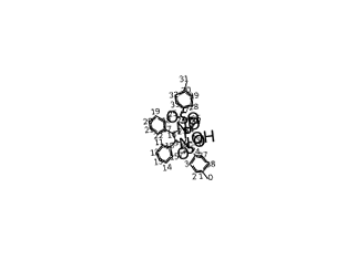 Cc1ccc(S(=O)(=O)N2C(c3ccccc3)C(c3ccccc3)N(S(=O)(=O)c3ccc(C)cc3)P2(=O)O)cc1